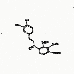 COc1ccc(C(=O)C=Cc2ccc(O)c(O)c2)c(OC)c1OC